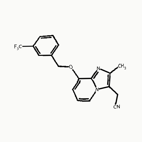 Cc1nc2c(OCc3cccc(C(F)(F)F)c3)cccn2c1CC#N